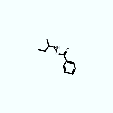 CCC(C)NOC(=O)c1ccccc1